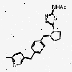 CC(=O)Nc1ncc(C2CCCN2Cc2ccc(Cc3ccc(C)nc3)cc2)s1